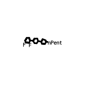 CCCCCc1ccc(C2CC=C(c3cccc(F)c3F)CC2)cc1